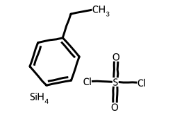 CCc1ccccc1.O=S(=O)(Cl)Cl.[SiH4]